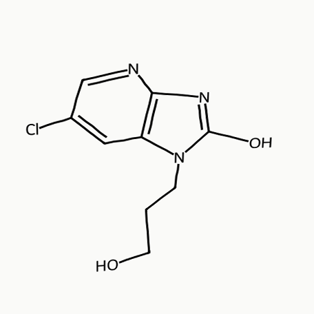 OCCCn1c(O)nc2ncc(Cl)cc21